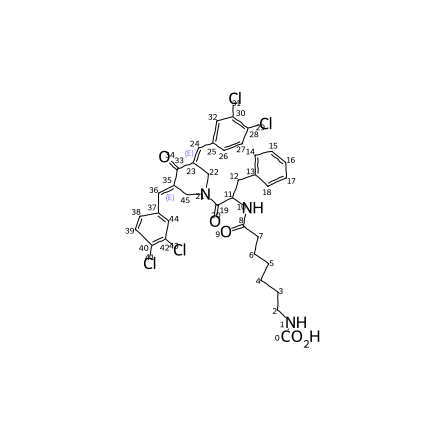 O=C(O)NCCCCCCC(=O)NC(Cc1ccccc1)C(=O)N1C/C(=C\c2ccc(Cl)c(Cl)c2)C(=O)/C(=C/c2ccc(Cl)c(Cl)c2)C1